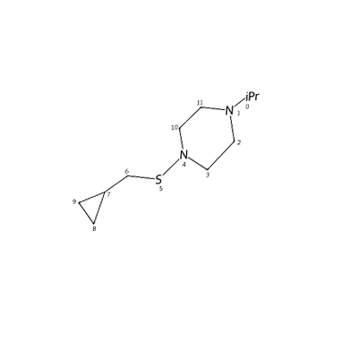 CC(C)N1CCN(SCC2CC2)CC1